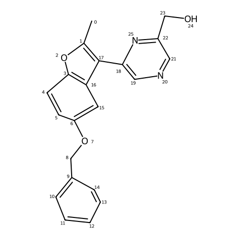 Cc1oc2ccc(OCc3ccccc3)cc2c1-c1cncc(CO)n1